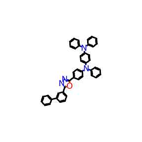 c1ccc(-c2cccc(-c3nnc(-c4ccc(N(c5ccccc5)c5ccc(N(c6ccccc6)c6ccccc6)cc5)cc4)o3)c2)cc1